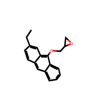 CCc1ccc2cc3ccccc3c(OCC3CO3)c2c1